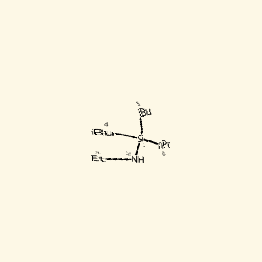 CCC[Si](NCC)(C(C)CC)C(C)CC